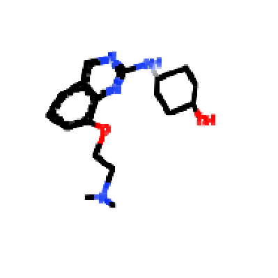 CN(C)CCOc1cccc2cnc(N[C@H]3CC[C@H](O)CC3)nc12